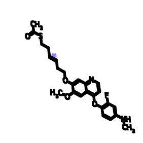 CNc1ccc(Oc2ccnc3cc(OCC/C=C/CCSC(C)=O)c(OC)cc23)c(F)c1